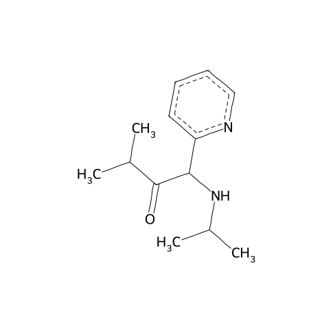 CC(C)NC(C(=O)C(C)C)c1ccccn1